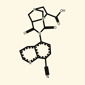 N#Cc1ccc(N2C(=O)C3CN4CC(C(=O)O)[N+]3(C4)C2=O)c2cccnc12